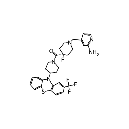 Nc1cc(CN2CCC(F)(C(=O)N3CCC(N4c5ccccc5Sc5ccc(C(F)(F)F)cc54)CC3)CC2)ccn1